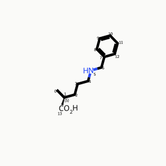 C[C@@H](CCCNCc1ccccc1)C(=O)O